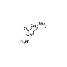 CCC(=O)O.NCCCCCCN